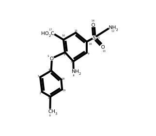 Cc1ccc(Oc2c(N)cc(S(N)(=O)=O)cc2C(=O)O)cc1